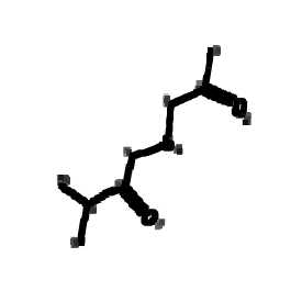 CC(=O)CSCC(=O)C(C)C